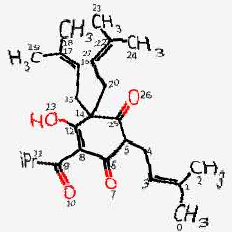 CC(C)=CCC1C(=O)C(C(=O)C(C)C)=C(O)C(CC=C(C)C)(CC=C(C)C)C1=O